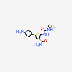 CNC(=O)Nc1sc(-c2ccc(N)cc2)cc1C(N)=O